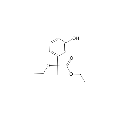 CCOC(=O)C(C)(OCC)c1cccc(O)c1